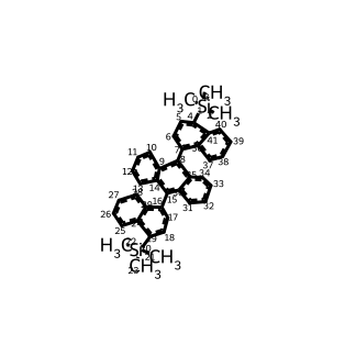 C[Si](C)(C)c1ccc(-c2c3ccccc3c(-c3ccc([Si](C)(C)C)c4ccccc34)c3ccccc23)c2ccccc12